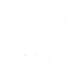 CCS(=O)(=O)N1CCN(C2=NC(=O)C(=Cc3ccc(Oc4ccc(C#N)cc4C(F)(F)F)c(F)c3)S2)CC1